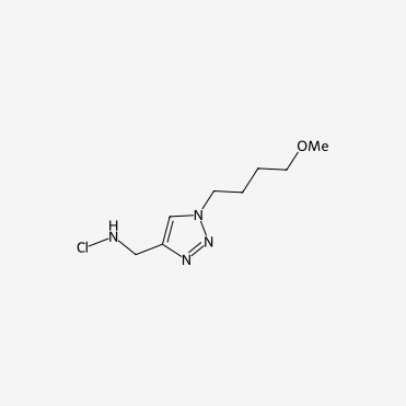 COCCCCn1cc(CNCl)nn1